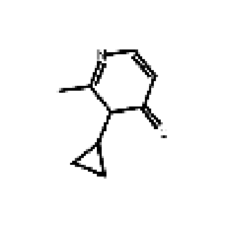 CC1=NC=CC(=O)C1C1CC1